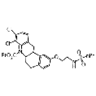 CCCS(=O)(=O)NCCOc1ccc2c(c1)C(Cc1ccc(Cl)c(Cl)c1)C(NC(=O)OCC)CC2